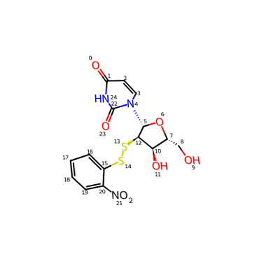 O=c1ccn([C@@H]2O[C@H](CO)[C@@H](O)[C@H]2SSc2ccccc2[N+](=O)[O-])c(=O)[nH]1